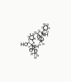 CC(CO)(Cc1cccc(CCCC(NC(=O)OC(C)(C)C)c2ccccc2)c1)NC(=O)OC(C)(C)C